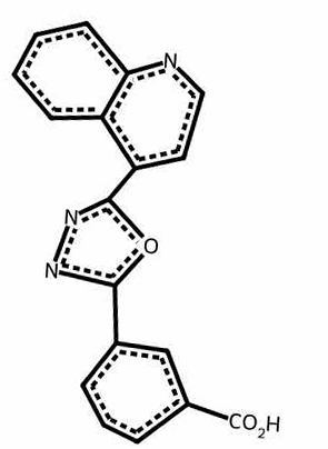 O=C(O)c1cccc(-c2nnc(-c3ccnc4ccccc34)o2)c1